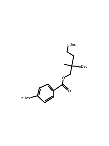 CCCCCCCCCCCCC(C)(CCCCCCCCCC)COC(=O)c1ccc(CCCCCC)cc1